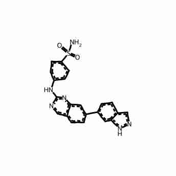 NS(=O)(=O)c1ccc(Nc2ncc3ccc(-c4ccc5cn[nH]c5c4)cc3n2)cc1